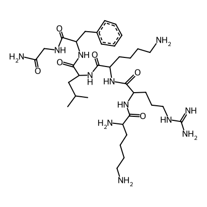 CC(C)CC(NC(=O)C(CCCCN)NC(=O)C(CCCNC(=N)N)NC(=O)C(N)CCCCN)C(=O)NC(Cc1ccccc1)C(=O)NCC(N)=O